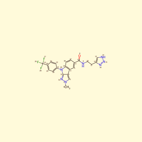 Cn1cc2c3cc(C(=O)NCCc4c[nH]nn4)ccc3n(-c3ccc(C(F)(F)F)cc3)c2n1